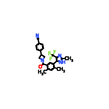 Cc1nc(C(F)(F)F)c(-c2cc(C(=O)N3CC(c4ccc(C#N)cc4)C3)c(C)cc2C)[nH]1